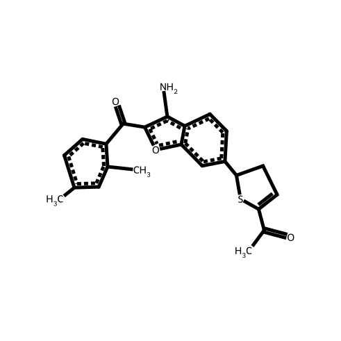 CC(=O)C1=CCC(c2ccc3c(N)c(C(=O)c4ccc(C)cc4C)oc3c2)S1